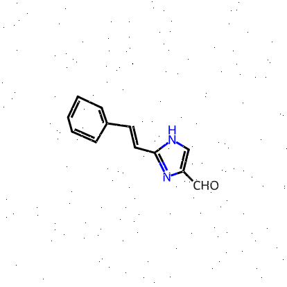 O=Cc1c[nH]c(C=Cc2ccccc2)n1